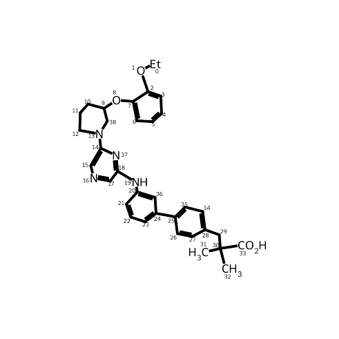 CCOc1ccccc1OC1CCCN(c2cncc(Nc3cccc(-c4ccc(CC(C)(C)C(=O)O)cc4)c3)n2)C1